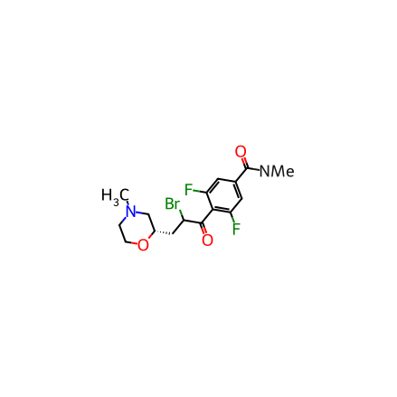 CNC(=O)c1cc(F)c(C(=O)C(Br)C[C@H]2CN(C)CCO2)c(F)c1